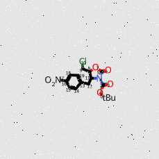 CC(C)(C)OC(=O)N1C(=O)OC(CCl)C1Cc1ccc([N+](=O)[O-])cc1